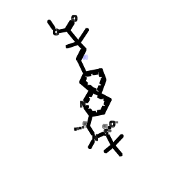 COC(=O)C(C)(C)/C=C/c1ccc2ccc([C@@H](C)N(C)[S@+]([O-])C(C)(C)C)nc2c1